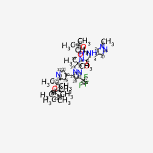 Cn1cc(C[C@@H](NC(=O)OC(C)(C)C)C(=O)NC(C)(C)Cn2nc(C(F)(F)F)cc2-c2ccnc(C(C)(C)O[Si](C)(C)C(C)(C)C)c2)cn1